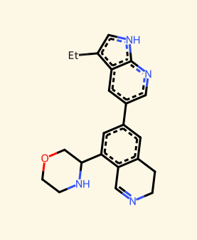 CCc1c[nH]c2ncc(-c3cc4c(c(C5COCCN5)c3)C=NCC4)cc12